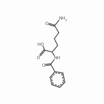 NC(=O)CCCC(NC(=O)c1ccccc1)C(=O)O